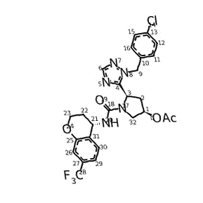 CC(=O)O[C@@H]1C[C@H](c2ncnn2Cc2ccc(Cl)cc2)N(C(=O)N[C@H]2CCOc3cc(C(F)(F)F)ccc32)C1